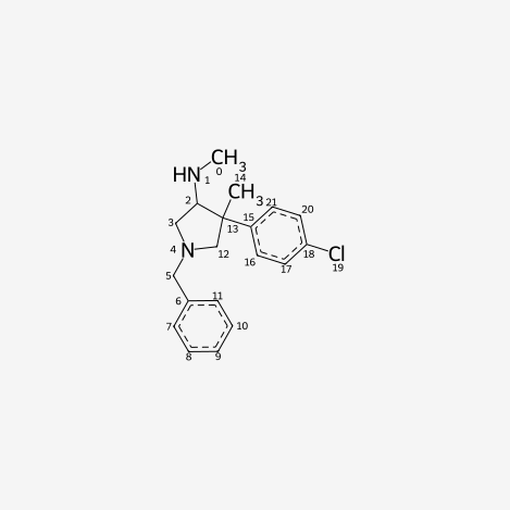 CNC1CN(Cc2ccccc2)CC1(C)c1ccc(Cl)cc1